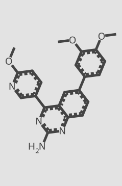 COc1ccc(-c2nc(N)nc3ccc(-c4ccc(OC)c(OC)c4)cc23)cn1